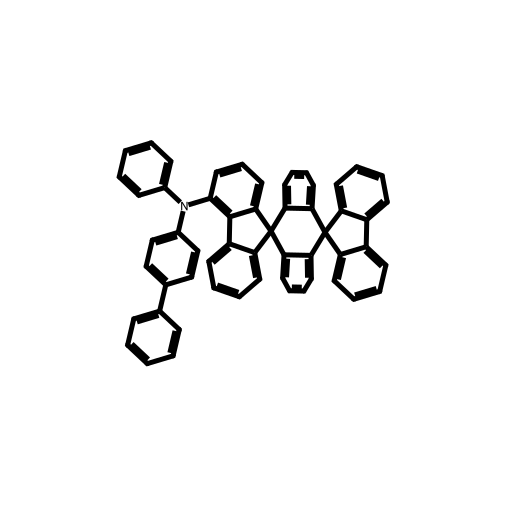 c1ccc(-c2ccc(N(c3ccccc3)c3cccc4c3-c3ccccc3C43c4ccccc4C4(c5ccccc5-c5ccccc54)c4ccccc43)cc2)cc1